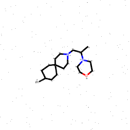 CC(C)C1CCC2(CC1)CCN(CC(C)N1CCOCC1)CC2